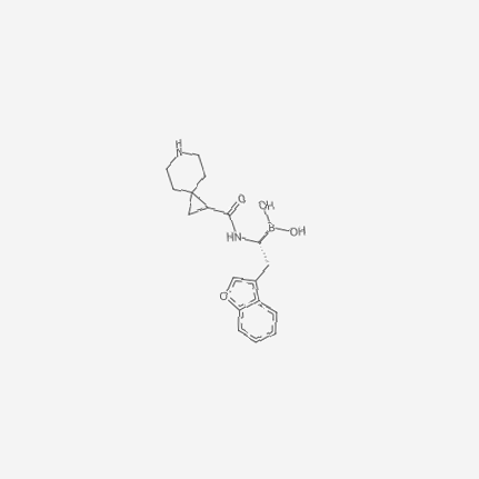 O=C(N[C@@H](Cc1coc2ccccc12)B(O)O)C1CC12CCNCC2